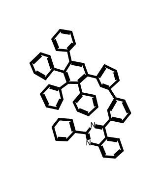 C1=CC(c2nc(-c3cccc(-c4cccc(-c5cc(-c6ccccc6)c(-c6ccccc6)c(-c6ccccc6)c5-c5ccccc5)c4)c3)c3ccccc3n2)=CCC1